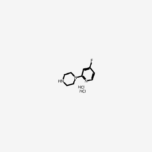 Cl.Cl.Fc1ccnc(N2CCNCC2)c1